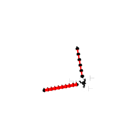 Cc1c(CCO)cc(CCO)cc1CCO.Cc1ccccc1.Cc1ccccc1.Cc1ccccc1.Cc1ccccc1.Cc1ccccc1.Cc1ccccc1.Cc1ccccc1.Cc1ccccc1.Cc1ccccc1.Cc1ccccc1.Cc1ccccc1.Cc1ccccc1.Cc1ccccc1.Cc1ccccc1.Cc1ccccc1.Cc1ccccc1